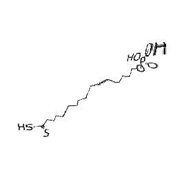 O=P(O)(O)OCCCCCCCCCCCCCCCC(=S)S